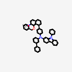 C=Nc1ccc2cccc(-c3ccc(N(c4cccc(-c5ccccc5)c4)c4ccc5c6ccccc6n(-c6ccccc6)c5c4)cc3)c2c1OCc1ccccc1